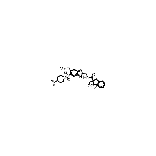 COc1cc2sc(CNC(=O)C3(CC(=O)O)Cc4ccccc4C3)nc2cc1S(=O)(=O)N1CCC(N(C)C)CC1